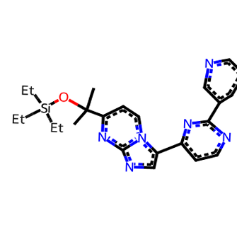 CC[Si](CC)(CC)OC(C)(C)c1ccn2c(-c3ccnc(-c4cccnc4)n3)cnc2n1